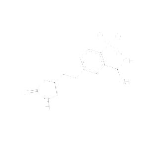 CC(C)c1cc(CCC2CNC(=O)O2)ccc1S(=O)(=O)O